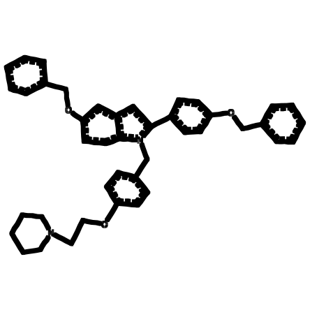 c1ccc(COc2ccc(-c3cc4cc(OCc5ccccc5)ccc4n3Cc3ccc(OCCN4CCCCC4)cc3)cc2)cc1